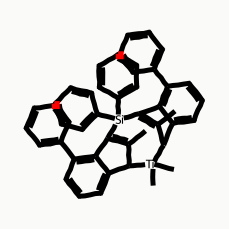 CC1=C2c3c(-c4ccccc4)cccc3[CH]1[Ti]([CH3])([CH3])[CH]1C(C)=C(c3c(-c4ccccc4)cccc31)[Si]2(c1ccccc1)c1ccccc1